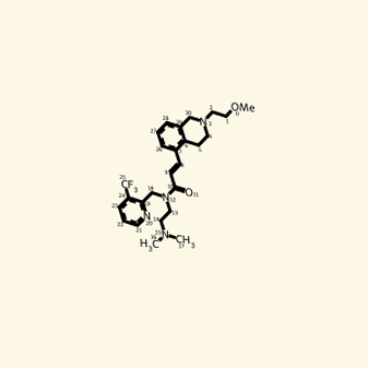 COCCN1CCc2c(/C=C/C(=O)N(CCN(C)C)Cc3ncccc3C(F)(F)F)cccc2C1